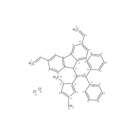 C=Cc1ccc2c(c1)-c1cc(C=C)ccc1[CH]2[Zr+2]([C]1=CC(C)=CC1C)=[C](c1ccccc1)c1ccccc1.[Cl-].[Cl-]